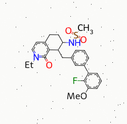 CCn1ccc2c(c1=O)C(Cc1cccc(-c3cccc(OC)c3F)c1)C(NS(C)(=O)=O)CC2